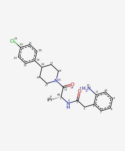 CC(C)[C@@H](NC(=O)Cc1ccccc1N)C(=O)N1CCC(c2ccc(Cl)cc2)CC1